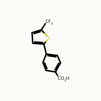 O=C(O)c1ccc(-c2ccc(C(F)(F)F)s2)cc1